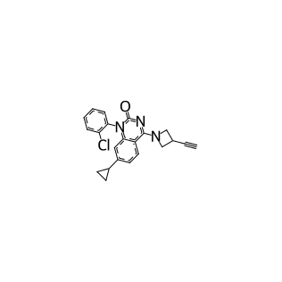 C#CC1CN(c2nc(=O)n(-c3ccccc3Cl)c3cc(C4CC4)ccc23)C1